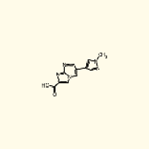 Cn1cc(-c2cnc3nc(C(=O)O)cn3c2)cn1